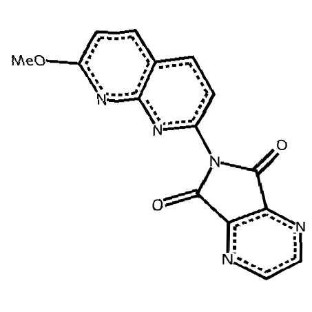 COc1ccc2ccc(N3C(=O)c4nccnc4C3=O)nc2n1